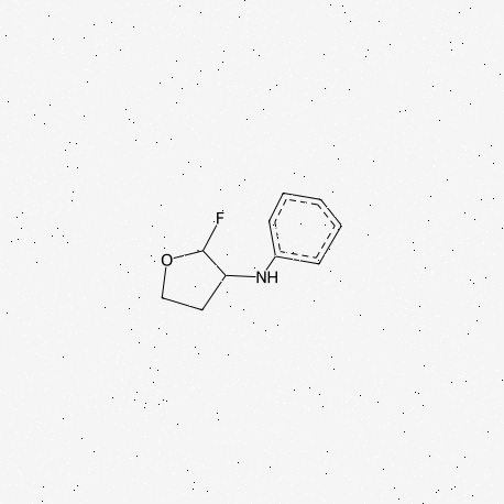 F[C]1OCCC1Nc1ccccc1